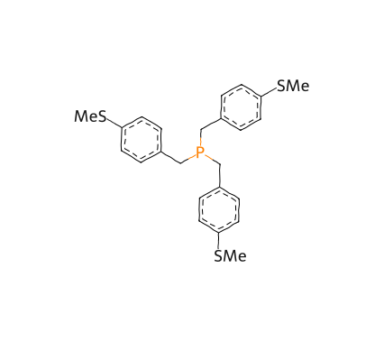 CSc1ccc(CP(Cc2ccc(SC)cc2)Cc2ccc(SC)cc2)cc1